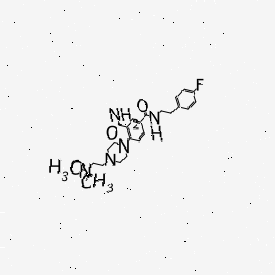 CN(C)CCN1CCN(c2ccc(C(=O)NCCc3ccc(F)cc3)cc2C(N)=O)CC1